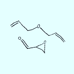 C=CCOCC=C.O=CC1CO1